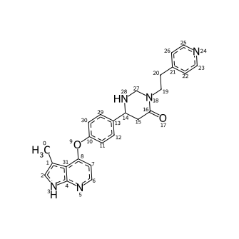 Cc1c[nH]c2nccc(Oc3ccc(C4CC(=O)N(CCc5ccncc5)CN4)cc3)c12